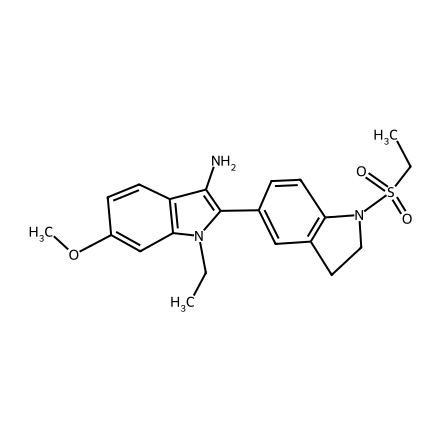 CCn1c(-c2ccc3c(c2)CCN3S(=O)(=O)CC)c(N)c2ccc(OC)cc21